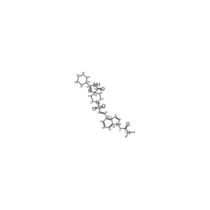 CN(C)C(=O)Cn1ccc2c(/C=C/S(=O)(=O)N3CCC4(CC3)N=C(C3CCCCC3)NC4=O)cccc21